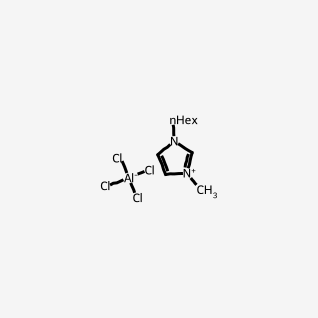 CCCCCCn1cc[n+](C)c1.[Cl][Al-]([Cl])([Cl])[Cl]